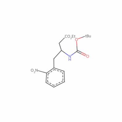 CCOC(=O)CC(Cc1ccccc1[N+](=O)[O-])NC(=O)OC(C)(C)C